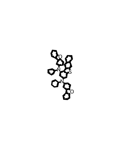 C1=CC(N(c2cc(N(c3ccccc3)c3ccc4oc5ccccc5c4c3)c3c(c2)sc2cc4ccccc4cc23)c2ccc3oc4ccccc4c3c2)=CCC1